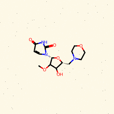 COC1C(O)[C@@H](CN2CCOCC2)O[C@H]1n1ccc(=O)[nH]c1=O